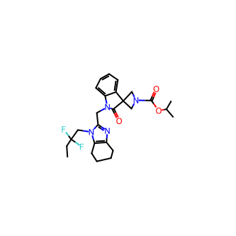 CCC(F)(F)Cn1c(CN2C(=O)C3(CN(C(=O)OC(C)C)C3)c3ccccc32)nc2c1CCCC2